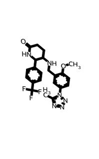 COc1ccc(-n2nnnc2C)cc1CNC1CCC(=O)NC1c1ccc(C(F)(F)F)cc1